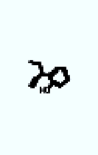 C#CC(CC)c1ccccc1O